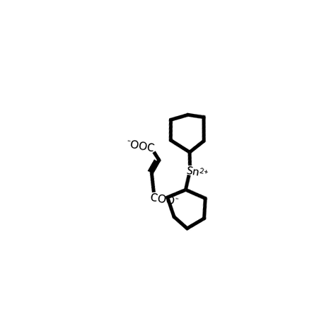 C1CC[CH]([Sn+2][CH]2CCCCC2)CC1.O=C([O-])C=CC(=O)[O-]